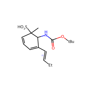 CC/C=C/C1=CC=CC(C)(S(=O)(=O)O)C1NC(=O)OC(C)(C)C